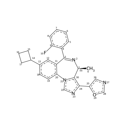 C[C@@H]1N=C(c2ccccc2F)c2cc(C3CCC3)ccc2-n2cnc(-c3cnco3)c21